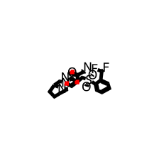 N#Cc1ccc(N2C3CCC2CN(C(=O)CCS(=O)(=O)c2ccccc2C(F)F)C3)nc1